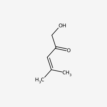 CC(C)=CC(=O)CO